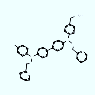 COCc1ccc(B(OCc2ccccn2)c2ccc(-c3ccc(B(OCc4ccccn4)c4ccc(C)cc4)cc3)cc2)cc1